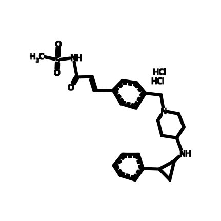 CS(=O)(=O)NC(=O)C=Cc1ccc(CN2CCC(NC3CC3c3ccccc3)CC2)cc1.Cl.Cl